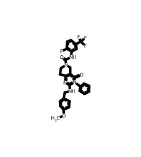 COc1ccc(CNc2nc3c(c(=O)n2-c2ccccc2)CN(C(=O)Nc2cc(C(F)(F)F)ccc2F)CC3)cc1